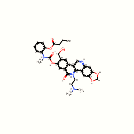 CC(=O)CCC(=O)Oc1ccccc1N(C)C(=O)Oc1cc2c(=O)n(CCN(C)C)c3c4cc5c(cc4ncc3c2cc1CO)OCO5